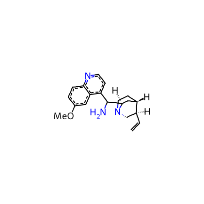 C=C[C@H]1C[N@]2CC[C@H]1C[C@@H]2C(N)c1ccnc2ccc(OC)cc12